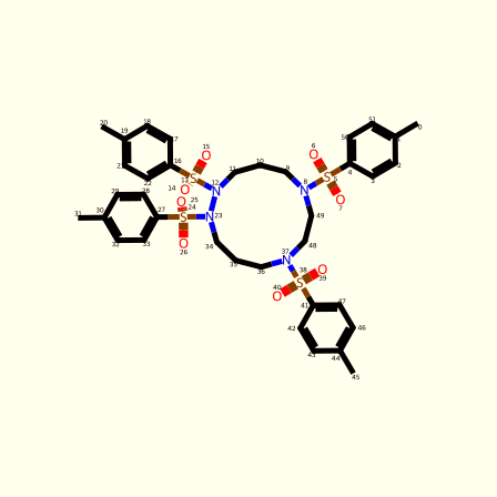 Cc1ccc(S(=O)(=O)N2CCCN(S(=O)(=O)c3ccc(C)cc3)N(S(=O)(=O)c3ccc(C)cc3)CCCN(S(=O)(=O)c3ccc(C)cc3)CC2)cc1